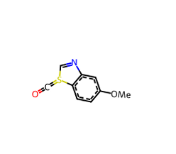 COc1ccc2c(c1)N=CS2=C=O